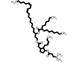 CC/C=C\CC1C(CC(=O)OCCC(CCCCCCCC/C=C\C/C=C\CCCCC)OC(=O)C(CCCCCC)CCCCCCCC)CCC1OC(=O)CCN(C)C